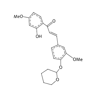 COc1ccc(C(=O)C=Cc2ccc(OC3CCCCO3)c(OC)c2)c(O)c1